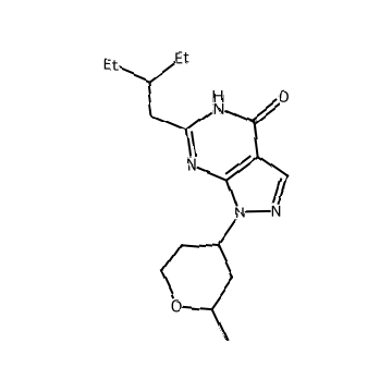 CCC(CC)Cc1nc2c(cnn2C2CCOC(C)C2)c(=O)[nH]1